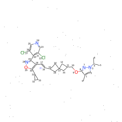 Cc1cn(C(C)C)nc1OCC1CC2(CC(/C=C/c3c(-c4c(Cl)cncc4Cl)noc3C3CC3)C2)C1